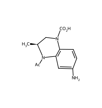 CC(=O)N1c2cc(N)ccc2N(C(=O)O)C[C@@H]1C